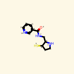 O=C(NCC1NCCC1S)c1cccnc1